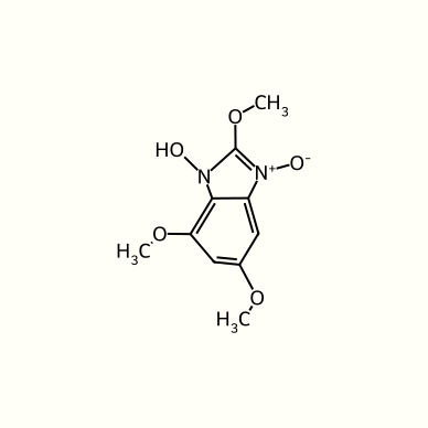 COc1cc(OC)c2c(c1)[n+]([O-])c(OC)n2O